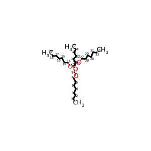 CCCCCCCCOCOC(OCCCCCCC)=C(CCCCC)OCCCCCCC